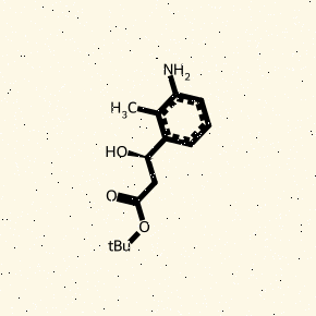 Cc1c(N)cccc1[C@H](O)CC(=O)OC(C)(C)C